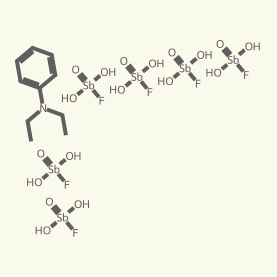 CCN(CC)c1ccccc1.[O]=[Sb]([OH])([OH])[F].[O]=[Sb]([OH])([OH])[F].[O]=[Sb]([OH])([OH])[F].[O]=[Sb]([OH])([OH])[F].[O]=[Sb]([OH])([OH])[F].[O]=[Sb]([OH])([OH])[F]